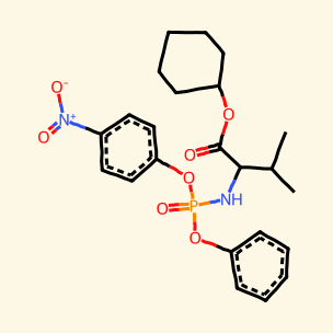 CC(C)C(NP(=O)(Oc1ccccc1)Oc1ccc([N+](=O)[O-])cc1)C(=O)OC1CCCCC1